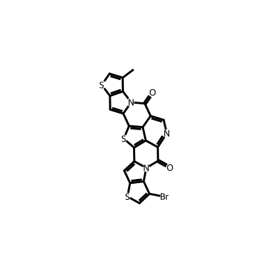 Cc1csc2cc3c4sc5c6c(ncc(c(=O)n3c12)c46)c(=O)n1c5cc2scc(Br)c21